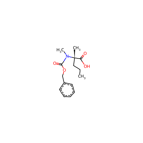 CCC[C@@](C)(C(=O)O)N(C)C(=O)OCc1ccccc1